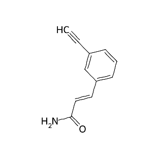 C#Cc1cccc(C=CC(N)=O)c1